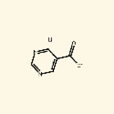 O=C([O-])c1cncnc1.[Li+]